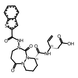 C=C[C@H](CC(=O)O)NC(=O)[C@@H]1CCCN2C(=O)CCN(NC(=O)c3cc4ccccc4s3)C(=O)N12